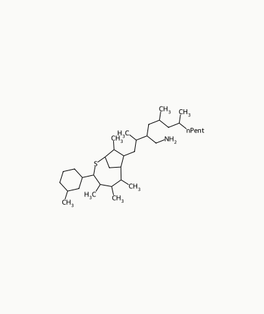 CCCCCC(C)CC(C)CC(CN)C(C)CC1C(C)C2CC1C(C)C(C)C(C)C(C1CCCC(C)C1)S2